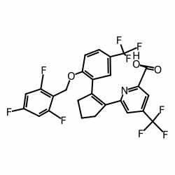 O=C(O)c1cc(C(F)(F)F)cc(C2=C(c3cc(C(F)(F)F)ccc3OCc3c(F)cc(F)cc3F)CCC2)n1